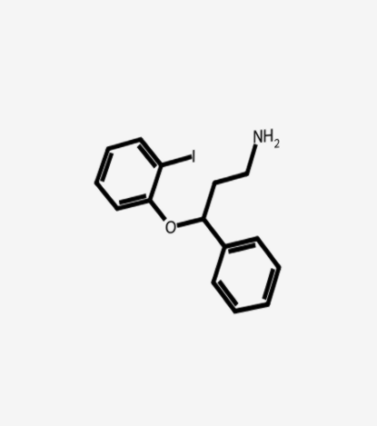 NCCC(Oc1ccccc1I)c1ccccc1